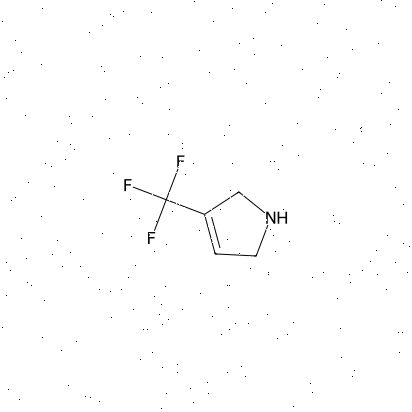 FC(F)(F)C1=CCNC1